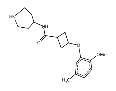 COc1ccc(C)cc1OC1CC(C(=O)NC2CCNCC2)C1